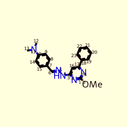 COc1nc(N/N=C/c2ccc(N(C)C)cc2)cc(-c2ccccc2)n1